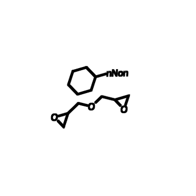 C(OCC1CO1)C1CO1.CCCCCCCCCC1CCCCC1